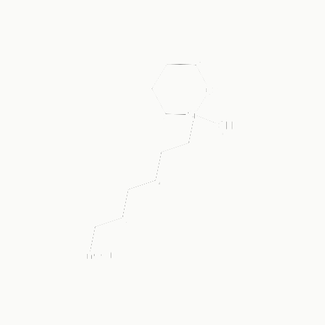 CCCCCCCCCCCCCC[Si]1(C)CCCCO1